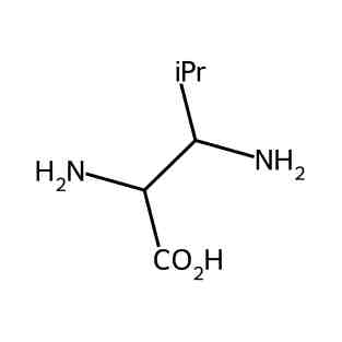 CC(C)C(N)C(N)C(=O)O